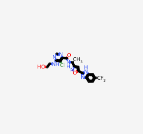 C[C@@H](NC(=O)c1ncnc(NCCO)c1Cl)c1cc(-c2nc3ccc(C(F)(F)F)cc3[nH]2)on1